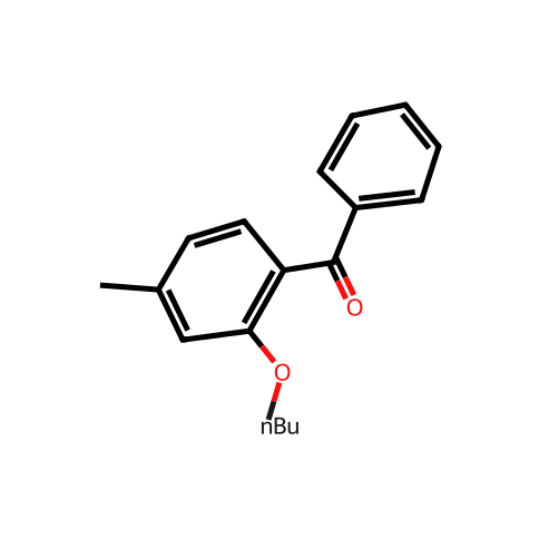 CCCCOc1cc(C)ccc1C(=O)c1ccccc1